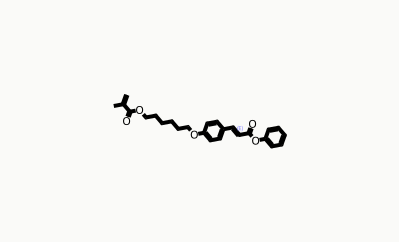 C=C(C)C(=O)OCCCCCCOc1ccc(/C=C/C(=O)Oc2ccccc2)cc1